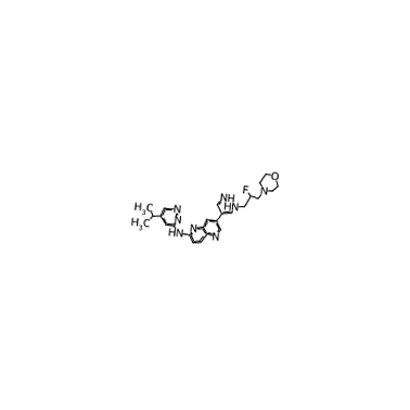 CC(C)c1cnnc(Nc2ccc3ncc(/C(C=N)=C/NCC(F)CN4CCOCC4)cc3n2)c1